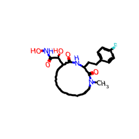 CN1CCCCCCCCC(C(O)C(=O)NO)C(=O)NC(CCc2ccc(F)cc2)C1=O